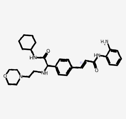 Nc1ccccc1NC(=O)/C=C/c1ccc(C(NCCN2CCOCC2)C(=O)NC2CCCCC2)cc1